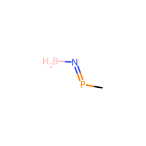 B/N=P/C